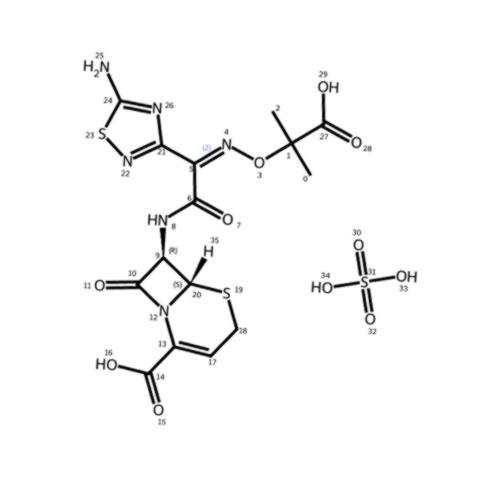 CC(C)(O/N=C(\C(=O)N[C@@H]1C(=O)N2C(C(=O)O)=CCS[C@@H]12)c1nsc(N)n1)C(=O)O.O=S(=O)(O)O